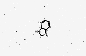 C1=CC2=NCNC2N=C1